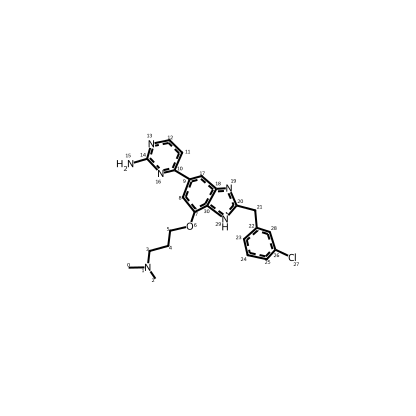 CN(C)CCCOc1cc(-c2ccnc(N)n2)cc2nc(Cc3cccc(Cl)c3)[nH]c12